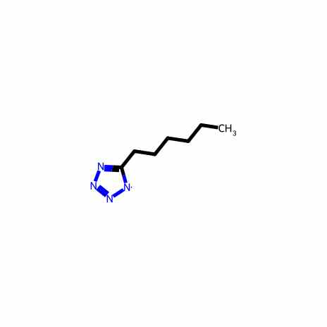 CCCCCCC1=NN=N[N]1